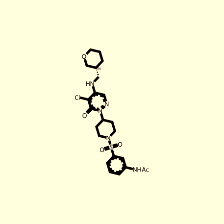 CC(=O)Nc1cccc(S(=O)(=O)N2CCC(n3ncc(NC[C@H]4CCCOC4)c(Cl)c3=O)CC2)c1